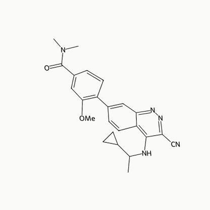 COc1cc(C(=O)N(C)C)ccc1-c1ccc2c(NC(C)C3CC3)c(C#N)nnc2c1